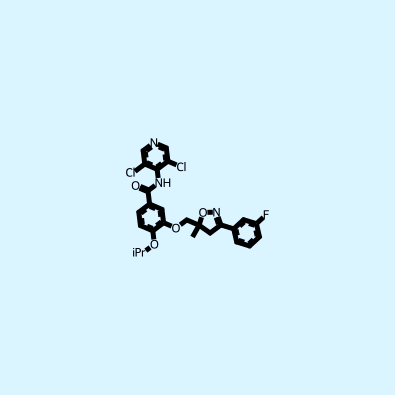 CC(C)Oc1ccc(C(=O)Nc2c(Cl)cncc2Cl)cc1OCC1(C)CC(c2cccc(F)c2)=NO1